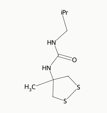 CC(C)CNC(=O)NC1(C)CSSC1